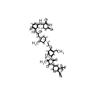 CCc1cc(N2C(=S)N(c3cnc(C#N)c(C(F)(F)F)c3)C(=O)C2(C)C)ccc1OCC[C@H]1CCN(CC(=O)Nc2cc(NC3CCC(=O)NC3=O)ccc2F)[C@H](C)C1